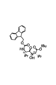 CC(C)[C@H](NC(=O)OCC1c2ccccc2-c2ccccc21)C(=O)N(O)[C@H](C(=O)OC(C)(C)C)C(C)C